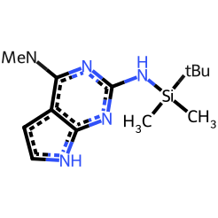 CNc1nc(N[Si](C)(C)C(C)(C)C)nc2[nH]ccc12